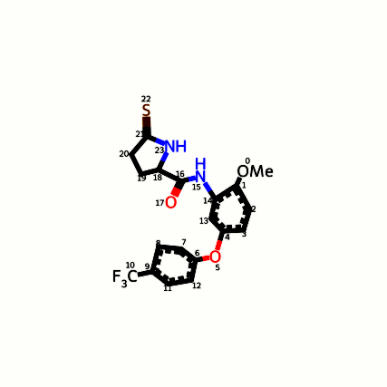 COc1ccc(Oc2ccc(C(F)(F)F)cc2)cc1NC(=O)C1CCC(=S)N1